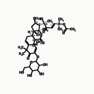 CC(=O)OC(C)(C)/C=C/C(=O)[C@](C)(O)[C@H]1[C@H](O)C[C@@]2(C)[C@@H]3CC=C4[C@@H](C=C(OC5OC(CO)C(O)C(O)C5O)C(=O)C4(C)C)[C@]3(C)C(=O)C[C@]12C